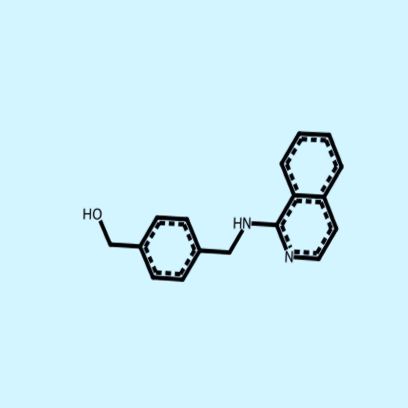 OCc1ccc(CNc2nccc3ccccc23)cc1